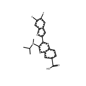 CC(C)N(C)c1nc2cc(C(=O)O)ccc2nc1-c1cc2cc(F)c(F)cc2o1